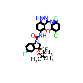 C[Si](C)(C)OC1(C(F)(F)F)CN(C(=O)Nc2ccc3[nH]nc(N)c3c2Oc2cc(F)ccc2Cl)c2ccc(F)cc21